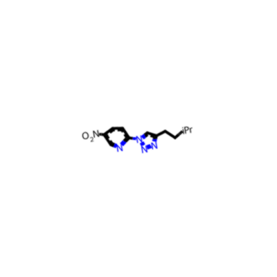 CC(C)CCc1cn(-c2ccc([N+](=O)[O-])cn2)nn1